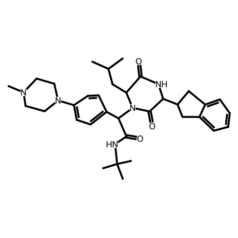 CC(C)CC1C(=O)NC(C2Cc3ccccc3C2)C(=O)N1C(C(=O)NC(C)(C)C)c1ccc(N2CCN(C)CC2)cc1